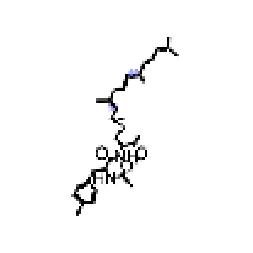 CC(=O)NC(Cc1ccc(C)cc1)C(=O)NC(CSC/C=C(\C)CC/C=C(\C)CCC=C(C)C)C(C)=O